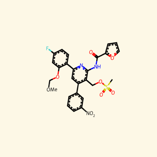 COCOc1cc(F)ccc1-c1cc(-c2cccc([N+](=O)[O-])c2)c(COS(C)(=O)=O)c(NC(=O)c2ccco2)n1